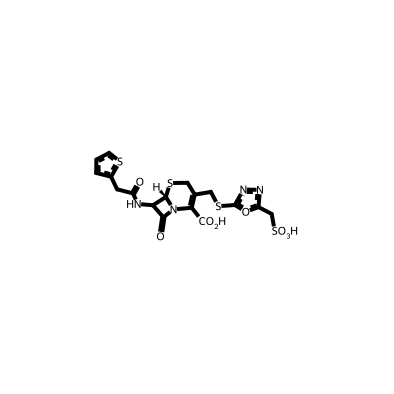 O=C(Cc1cccs1)NC1C(=O)N2C(C(=O)O)=C(CSc3nnc(CS(=O)(=O)O)o3)CS[C@@H]12